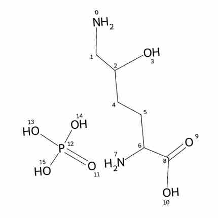 NCC(O)CCC(N)C(=O)O.O=P(O)(O)O